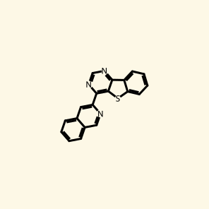 c1ccc2cc(-c3ncnc4c3sc3ccccc34)ncc2c1